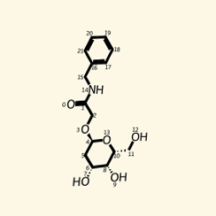 O=C(CO[C@@H]1C[C@@H](O)[C@@H](O)[C@@H](CO)O1)NCc1ccccc1